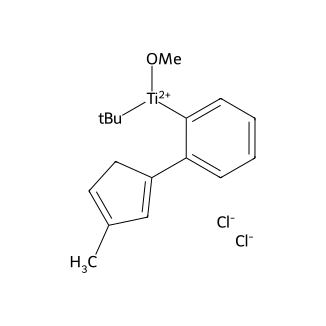 C[O][Ti+2]([c]1ccccc1C1=CC(C)=CC1)[C](C)(C)C.[Cl-].[Cl-]